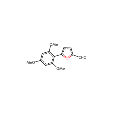 COc1cc(OC)c(-c2ccc(C=O)o2)c(OC)c1